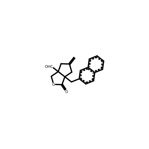 C=C1CC2(C=O)COC(=O)C2(Cc2ccc3ccccc3c2)C1